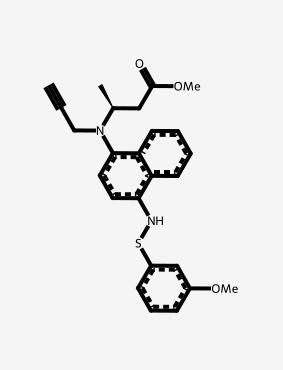 C#CCN(c1ccc(NSc2cccc(OC)c2)c2ccccc12)[C@@H](C)CC(=O)OC